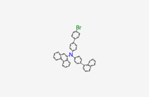 Brc1ccc(-c2ccc(N(c3ccc(-c4cccc5ccccc45)cc3)c3cc4ccccc4c4ccccc34)cc2)cc1